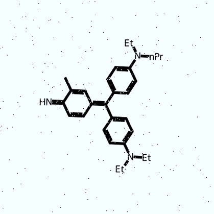 CCCN(CC)c1ccc(/C(=C2/C=CC(=N)C(C)=C2)c2ccc(N(CC)CC)cc2)cc1